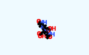 C=CC1=C(C)/C(=C\c2[nH]c(/C=C3N=C(/C=C4/NC(=O)C(C)=C4C=C)C(C)=C/3CCC(=O)O)c(CCC(=O)O)c2C)NC1=O